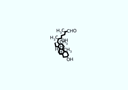 CC(C=O)CCC(O)[C@@H](C)[C@H]1CC[C@H]2[C@@H]3CC=C4C[C@@H](O)CC[C@]4(C)[C@H]3CC[C@]12C